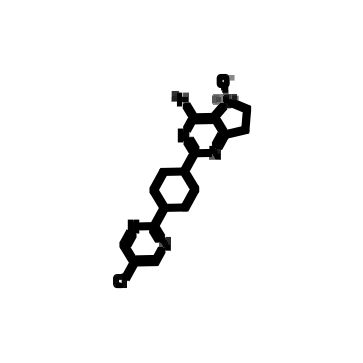 [2H]c1nc(C2CCC(c3ncc(Cl)cn3)CC2)nc2c1[S@+]([O-])CC2